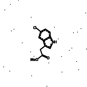 COC(=O)Cc1c[nH]c2ccc(Cl)cc12